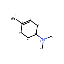 CC(C)C1=CCC(N(C)C)CC1